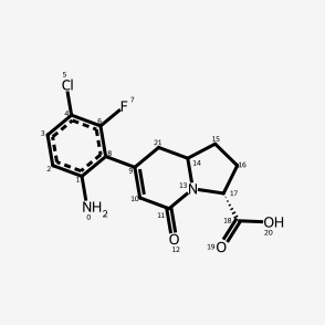 Nc1ccc(Cl)c(F)c1C1=CC(=O)N2C(CC[C@@H]2C(=O)O)C1